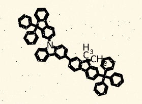 CC1(C)c2cc(-c3ccc4c(c3)c3ccccc3n4-c3ccc4c(c3)C(c3ccccc3)(c3ccccc3)c3ccccc3-4)ccc2-c2ccc(C(c3ccccc3)(c3ccccc3)c3ccccc3)cc21